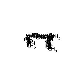 C=C1CCC(N2Cc3c(CCN4CCN(CC(=O)N5CCN(c6ccc(Nc7nc(N8CCC[C@@H](N9CCN(C)C9=O)C8)cnc7C(N)=O)cc6)CC5)CC4)cccc3C2=O)C(=O)N1